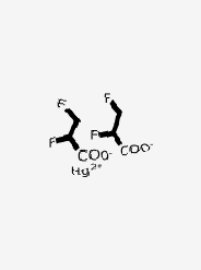 O=C([O-])C(F)CF.O=C([O-])C(F)CF.[Hg+2]